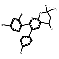 CC1(C)CC(N)c2cc(-c3ccc(Cl)cc3)c(-c3ccc(Br)cc3Cl)nc2O1